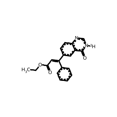 [2H]n1cnc2ccc(C(=CC(=O)OCC)c3ccccc3)cc2c1=O